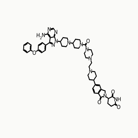 Nc1ncnc2c1c(-c1ccc(Oc3ccccc3)cc1)nn2C1CCN(C2CCN(C(=O)N3CCN(CCN4CCC(c5ccc6c(c5)CN(C5CCC(=O)NC5=O)C6=O)CC4)CC3)CC2)CC1